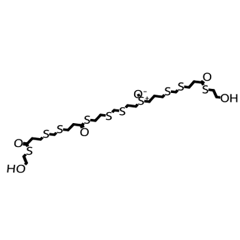 O=C(CCSCSCCC[S+]([O-])CCSCSCCSC(=O)CCSCSCCC(=O)SCCO)SCCO